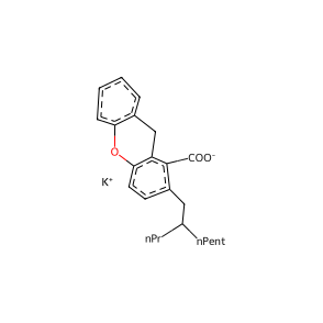 CCCCCC(CCC)Cc1ccc2c(c1C(=O)[O-])Cc1ccccc1O2.[K+]